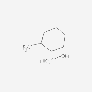 FC(F)(F)C1CCCCC1.O=C(O)O